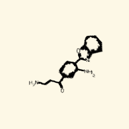 NCCC(=O)c1ccc(-c2nc3ccccc3o2)c(N)c1